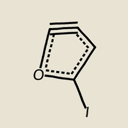 Ic1cc#co1